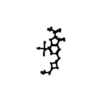 COC1CN(Cc2cc3c(c(C(F)(F)F)c2)CN(C(C)=O)C3=O)C1